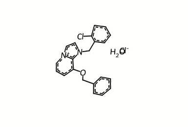 Clc1ccccc1Cn1cc[n+]2cccc(OCc3ccccc3)c12.O.[Cl-]